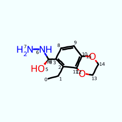 CCc1c([C@@H](O)NN)ccc2c1OCCO2